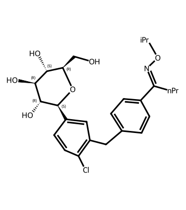 CCCC(=NOC(C)C)c1ccc(Cc2cc([C@@H]3O[C@H](CO)[C@@H](O)[C@H](O)[C@H]3O)ccc2Cl)cc1